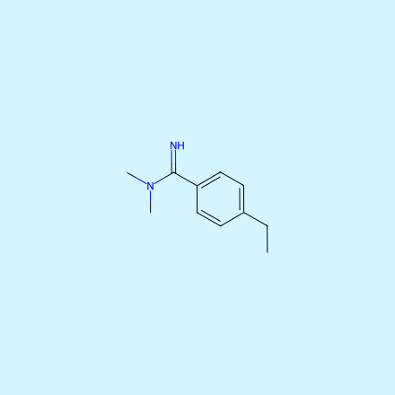 CCc1ccc(C(=N)N(C)C)cc1